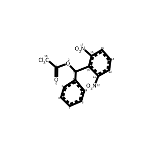 O=C(OC(c1ccccc1)c1c([N+](=O)[O-])cccc1[N+](=O)[O-])C(Cl)(Cl)Cl